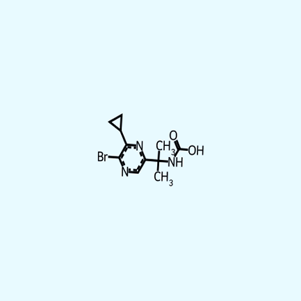 CC(C)(NC(=O)O)c1cnc(Br)c(C2CC2)n1